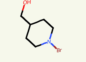 OCC1CCN(Br)CC1